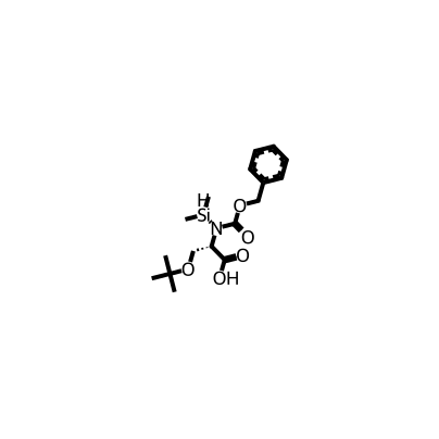 C[SiH](C)N(C(=O)OCc1ccccc1)[C@@H](COC(C)(C)C)C(=O)O